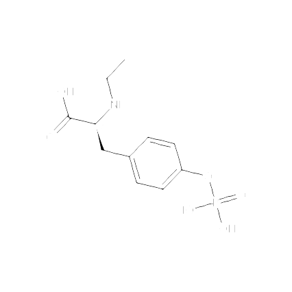 CCN[C@@H](Cc1ccc(OP(=O)(O)O)cc1)C(=O)O